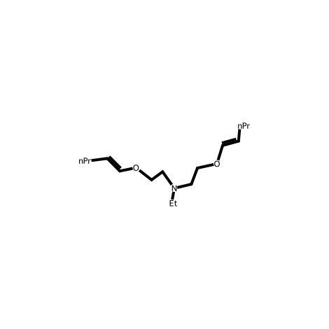 CCCC=COCCN(CC)CCOC=CCCC